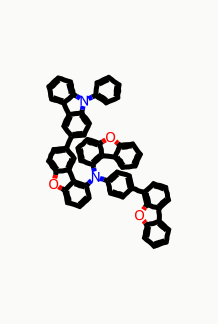 c1ccc(-n2c3ccccc3c3cc(-c4ccc5oc6cccc(N(c7ccc(-c8cccc9c8oc8ccccc89)cc7)c7cccc8oc9ccccc9c78)c6c5c4)ccc32)cc1